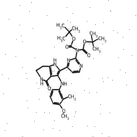 COc1cccc(Nc2c(-c3ccnc(N(C(=O)OC(C)(C)C)C(=O)OC(C)(C)C)n3)[nH]c3c2C(=O)NCC3)c1C